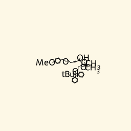 COc1ccc(COCCC#CC(O)[C@H]2OC(C)(C)O[C@H]2CCO[Si](c2ccccc2)(c2ccccc2)C(C)(C)C)cc1